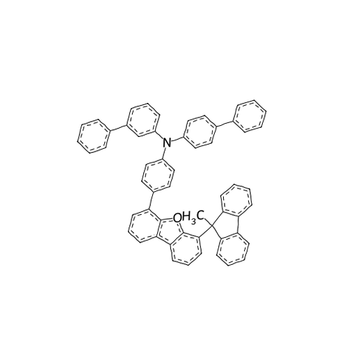 CC1(c2cccc3c2oc2c(-c4ccc(N(c5ccc(-c6ccccc6)cc5)c5cccc(-c6ccccc6)c5)cc4)cccc23)c2ccccc2-c2ccccc21